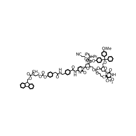 COc1ccc(C(OC[C@H]2O[C@@H](n3cc(C)c(=O)[nH]c3=O)C[C@H]2OP(OCCC#N)OC[C@H]2O[C@@H](n3ccc(NC(=O)c4ccc(CNC(=O)Cc5ccc(OC(=O)OCCN(C)C(=O)OCC6c7ccccc7-c7ccccc76)cc5)cc4)nc3=O)C[C@H]2OP(OCCC#N)N(C(C)C)C(C)C)(c2ccccc2)c2ccc(OC)cc2)cc1